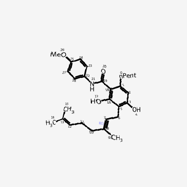 CCCCCc1cc(O)c(C/C=C(\C)CCC=C(C)C)c(O)c1C(=O)Nc1ccc(OC)cc1